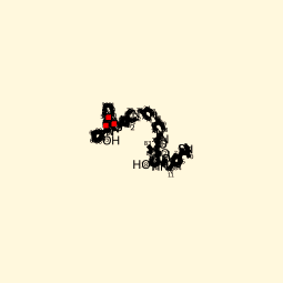 Cc1ncsc1-c1ccc([C@H](C)NC(=O)[C@@H]2C[C@@H](O)CN2C(=O)[C@@H](c2cc(N3CCC(CN4CCC(CN5CCC6(CC5)CC(Oc5cc(N7C8CCC7CN(c7cc(-c9ccccc9O)nnc7N)C8)ccn5)C6)CC4)CC3)no2)C(C)C)cc1